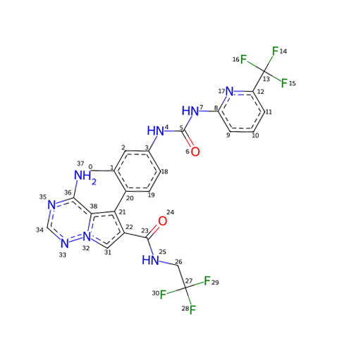 Cc1cc(NC(=O)Nc2cccc(C(F)(F)F)n2)ccc1-c1c(C(=O)NCC(F)(F)F)cn2ncnc(N)c12